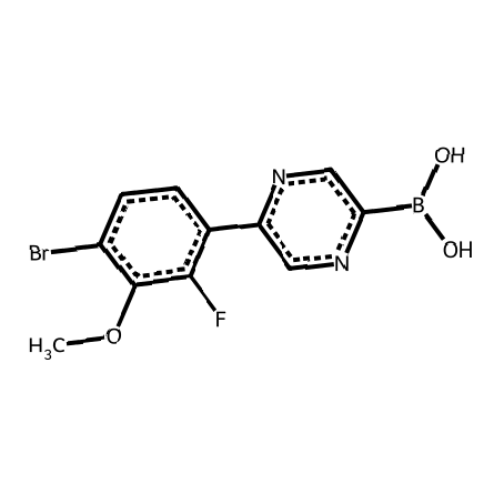 COc1c(Br)ccc(-c2cnc(B(O)O)cn2)c1F